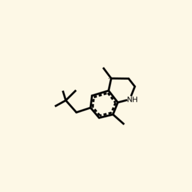 C[C]1CCNc2c(C)cc(CC(C)(C)C)cc21